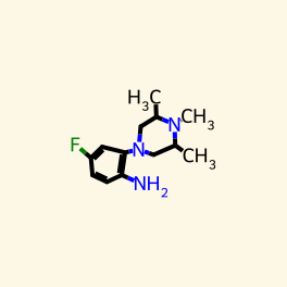 CC1CN(c2cc(F)ccc2N)CC(C)N1C